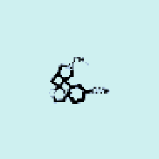 COc1cccc(C23CN(C)CC2CC32OCCO2)c1